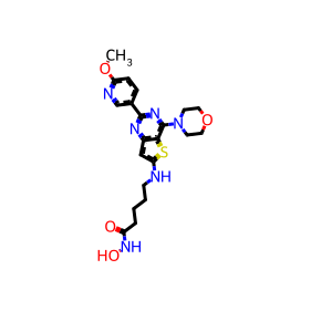 COc1ccc(-c2nc(N3CCOCC3)c3sc(NCCCCC(=O)NO)cc3n2)cn1